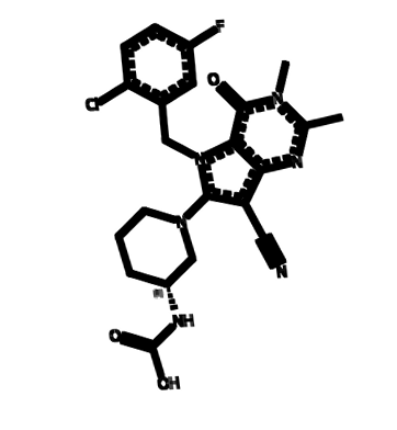 Cc1nc2c(C#N)c(N3CCC[C@@H](NC(=O)O)C3)n(Cc3cc(F)ccc3Cl)c2c(=O)n1C